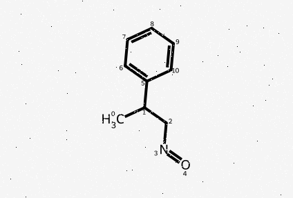 CC(CN=O)c1ccccc1